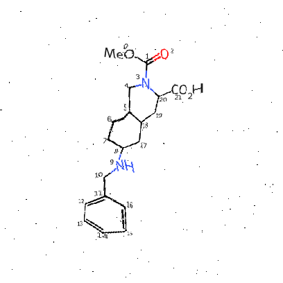 COC(=O)N1CC2CCC(NCc3ccccc3)CC2CC1C(=O)O